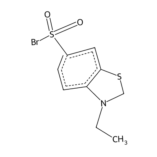 CCN1CSc2cc(S(=O)(=O)Br)ccc21